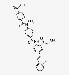 COC(=O)c1cc(/C=C/c2ccccc2F)ccc1NC(=O)c1ccc(N(C)C(=O)c2ccc(C(=O)O)cc2)cc1